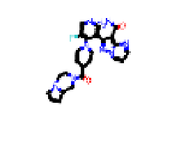 NC(=O)c1c(-c2cncc(F)c2N2CCC(C(=O)N3CCN4CCCC4C3)CC2)nn2cccnc12